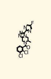 CC1Cn2c(nnc2-c2ncc(F)cn2)CN1C(=O)c1cccc(Cl)c1Cl